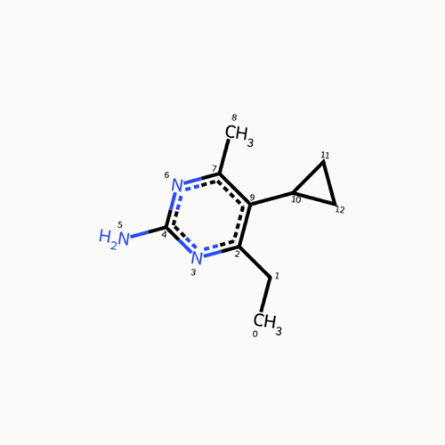 CCc1nc(N)nc(C)c1C1CC1